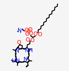 C=CC1=C(C)c2cc3[nH]c(c4c5nc(cc6[nH]c(cc1n2)c(C)c6CC)C(C)=C5C(=O)C4)C(CCC(=O)OC(COC(=O)CCCCCCCCCCCCCCC)COP(=O)([O-])OCC[N+](C)(C)C)C3C